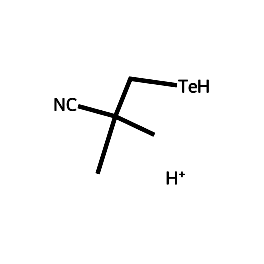 CC(C)(C#N)C[TeH].[H+]